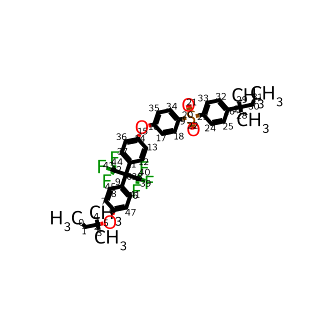 CCC(C)(C)Oc1ccc(C(c2ccc(Oc3ccc(S(=O)(=O)c4ccc(C(C)(C)CC)cc4)cc3)cc2)(C(F)(F)F)C(F)(F)F)cc1